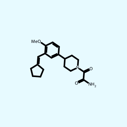 COc1ccc(C2CCN(C(=O)C(N)=O)CC2)cc1C=C1CCCC1